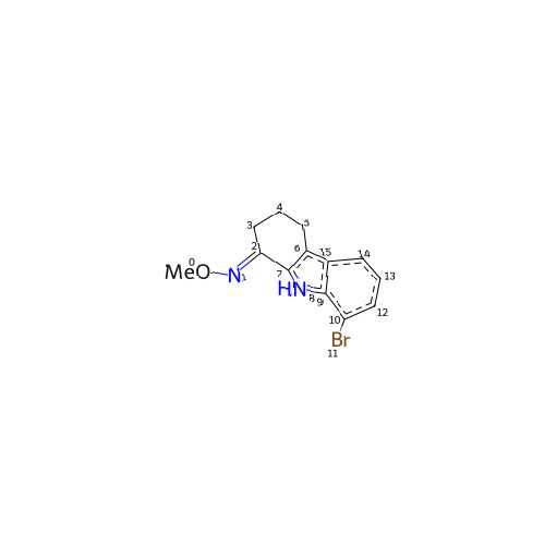 CO/N=C1\CCCc2c1[nH]c1c(Br)cccc21